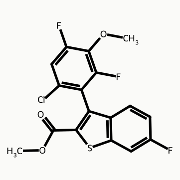 COC(=O)c1sc2cc(F)ccc2c1-c1c(Cl)cc(F)c(OC)c1F